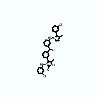 Cc1ncn(Nc2cccc(C(Cl)c3cccc(-c4c(C)[nH]c(=S)n4Nc4cccc(Cl)c4)c3)c2)c1-c1cccc(Cl)c1